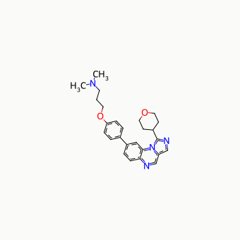 CN(C)CCCOc1ccc(-c2ccc3ncc4cnc(C5CCOCC5)n4c3c2)cc1